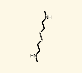 CNCCSSCCNC